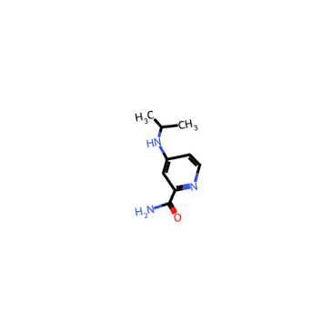 CC(C)Nc1ccnc(C(N)=O)c1